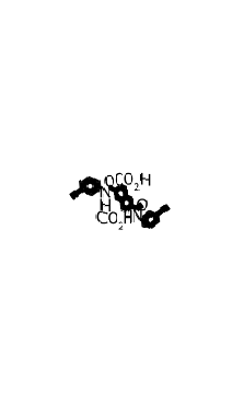 C#Cc1cccc(NC(=O)c2cc3cc(C(=O)O)c(C(=O)Nc4cccc(C#C)c4)cc3cc2C(=O)O)c1